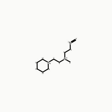 C=NCCN(C)CCN1CCCCC1